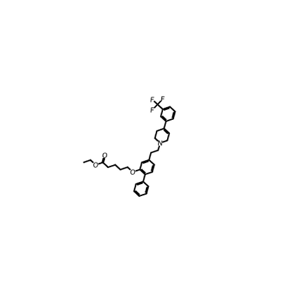 CCOC(=O)CCCCOc1cc(CCN2CC=C(c3cccc(C(F)(F)F)c3)CC2)ccc1-c1ccccc1